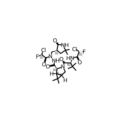 CC1(C)C[C@@H](CN(NC(=O)[C@@H]2[C@@H]3[C@H](CN2C(=O)[C@@H](NC(=O)[C@@H](F)Cl)C(C)(C)C)C3(C)C)C(=O)[C@@H](F)Cl)C(=O)N1